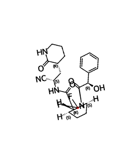 N#C[C@H](C[C@H]1CCCNC1=O)NC(=O)[C@H]1[C@@H]2CC[C@@H](CC2(F)F)N1C(=O)[C@H](O)c1ccccc1